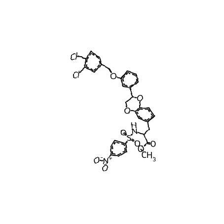 COC(=O)C(Cc1ccc2c(c1)OCC(c1cccc(OCc3ccc(Cl)c(Cl)c3)c1)O2)NS(=O)(=O)c1ccc([N+](=O)[O-])cc1